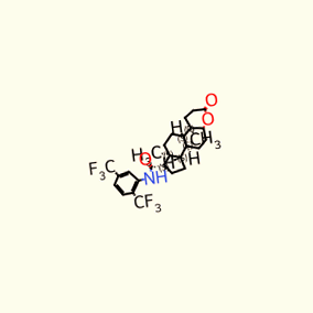 C[C@]12CC[C@H]3[C@@H](CCC4OC(=O)CC[C@@]43C)[C@@H]1CC[C@@H]2C(=O)Nc1cc(C(F)(F)F)ccc1C(F)(F)F